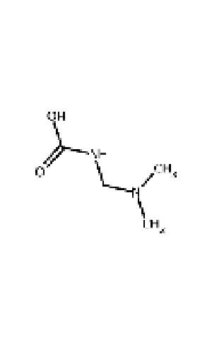 CN(C)CNC(=O)O